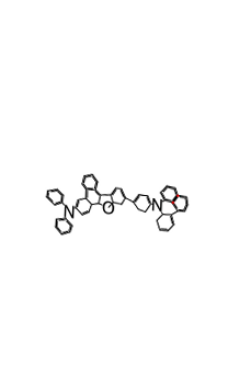 C1=CCC(N(C2=CC=C(C3=CC=C4C5=c6ccccc6=C6C=C(N(c7ccccc7)c7ccccc7)C=CC6C5OC4C3)CC2)c2ccccc2)C(c2ccccc2)=C1